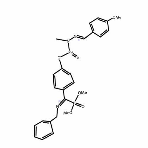 COc1ccc(/C=N/N(C)[PH](=S)Oc2ccc(/C(=N/Cc3ccccc3)P(=O)(OC)OC)cc2)cc1